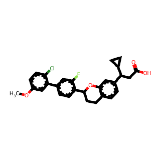 COc1ccc(Cl)c(-c2ccc(C3CCc4ccc(C(CC(=O)O)C5CC5)cc4O3)c(F)c2)c1